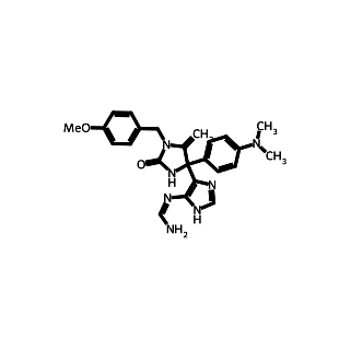 C=C1N(Cc2ccc(OC)cc2)C(=O)NC1(c1ccc(N(C)C)cc1)c1nc[nH]c1/N=C\N